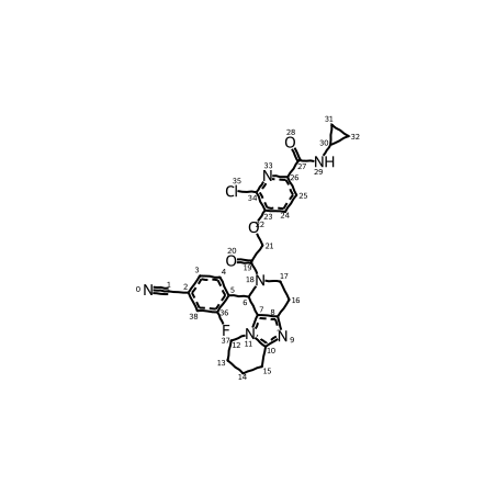 N#Cc1ccc(C2c3c(nc4n3CCCC4)CCN2C(=O)COc2ccc(C(=O)NC3CC3)nc2Cl)c(F)c1